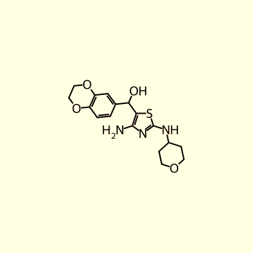 Nc1nc(NC2CCOCC2)sc1C(O)c1ccc2c(c1)OCCO2